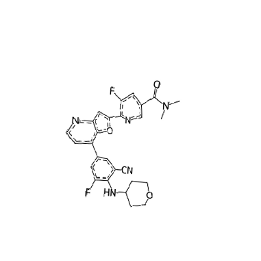 CN(C)C(=O)c1cnc(-c2cc3nccc(-c4cc(F)c(NC5CCOCC5)c(C#N)c4)c3o2)c(F)c1